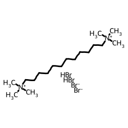 Br.Br.C[N+](C)(C)CCCCCCCCCCCC[N+](C)(C)C.[Br-].[Br-]